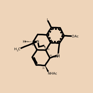 CC(=O)N[C@H]1C=CC2[C@H]3Cc4c(I)cc(OC(C)=O)c5c4[C@@]2(CCN3C)[C@H]1O5